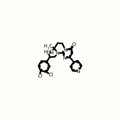 CC1(C)CCn2c(nc(-c3ccncc3)cc2=O)N1CC(O)c1ccc(Cl)c(Cl)c1